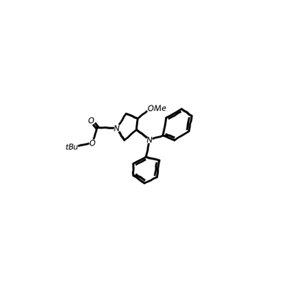 COC1CN(C(=O)OC(C)(C)C)CC1N(c1ccccc1)c1ccccc1